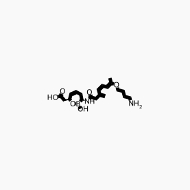 C=C(/C=C\C=C(/C)OCCCCN)CC(=O)N[C@H]1CC=C[C@H](CC(=O)O)OB1O